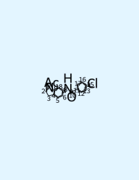 CC(=O)N1CCc2ccc(NC(=O)c3ccc(Cl)cc3)cc21